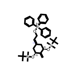 C=C1[C@@H](O[Si](C)(C)C(C)(C)C)C/C(=C/CO[PH](c2ccccc2)(c2ccccc2)c2ccccc2)C[C@H]1O[Si](C)(C)C(C)(C)C